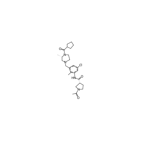 CC(=O)N1CC[C@@H](C(=O)Nc2cc(Cl)cc(CN3CCN(C(=O)C4CCCC4)[C@@H](C)C3)c2C)C1